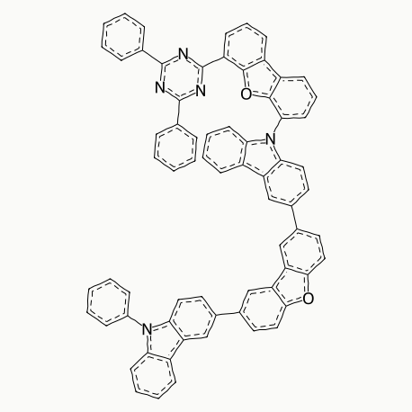 c1ccc(-c2nc(-c3ccccc3)nc(-c3cccc4c3oc3c(-n5c6ccccc6c6cc(-c7ccc8oc9ccc(-c%10ccc%11c(c%10)c%10ccccc%10n%11-c%10ccccc%10)cc9c8c7)ccc65)cccc34)n2)cc1